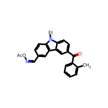 CCn1c2ccc(/C=N\OC(C)=O)cc2c2cc(C(=O)c3ccccc3C)ccc21